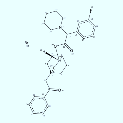 O=C(C[N+]12CCC(CC1)[C@@H](OC(=O)C(c1cccc(F)c1)N1CCCCC1)C2)c1ccccc1.[Br-]